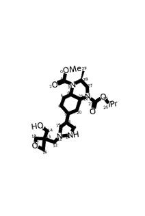 COC(=O)N1C2CCC(C3CNN(CC4(CO)COC4)C3)CC2N(C(=O)OC(C)C)C[C@@H]1C